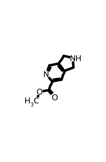 COC(=O)c1cc2c(cn1)CNC2